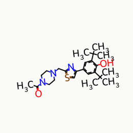 CC(=O)N1CCN(Cc2nc(-c3cc(C(C)(C)C)c(O)c(C(C)(C)C)c3)cs2)CC1